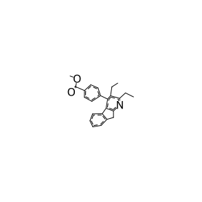 CCc1nc2c(c(-c3ccc(C(=O)OC)cc3)c1CC)-c1ccccc1C2